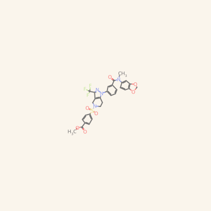 COC(=O)c1ccc(S(=O)(=O)N2CCc3c(c(C(F)(F)F)nn3-c3cccc(C(=O)N(C)c4ccc5c(c4)OCO5)c3)C2)cc1